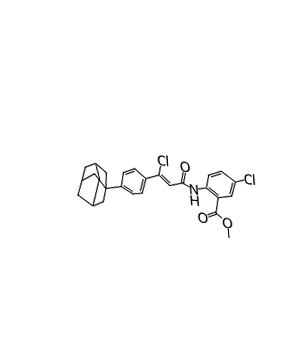 COC(=O)c1cc(Cl)ccc1NC(=O)C=C(Cl)c1ccc(C23CC4CC(CC(C4)C2)C3)cc1